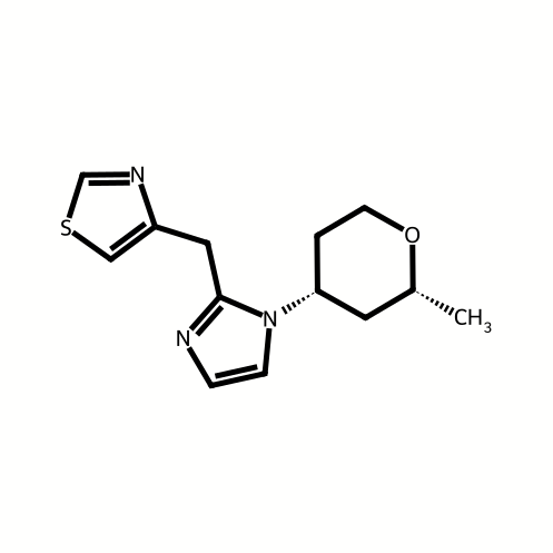 C[C@@H]1C[C@H](n2ccnc2Cc2cscn2)CCO1